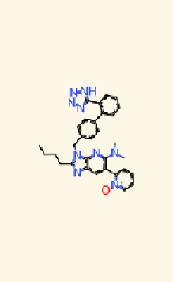 CCCCc1nc2cc(-c3cccc[n+]3[O-])c(N(C)C)nc2n1Cc1ccc(-c2ccccc2-c2nnn[nH]2)cc1